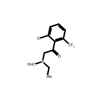 CC(C)(C)CN(C=O)CC(=O)c1c(Cl)cccc1C(F)(F)F